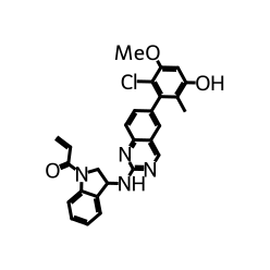 C=CC(=O)N1CC(Nc2ncc3cc(-c4c(C)c(O)cc(OC)c4Cl)ccc3n2)c2ccccc21